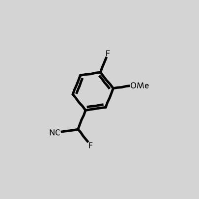 COc1cc(C(F)C#N)ccc1F